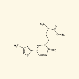 Cc1csc(-c2ccc(=O)n(CCN(C)C(=O)OC(C)(C)C)n2)c1